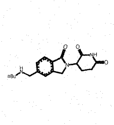 CCCCNCc1ccc2c(c1)CN(C1CCC(=O)NC1=O)C2=O